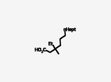 CCCCCCCCCCC(C)(CC)CC(=O)O